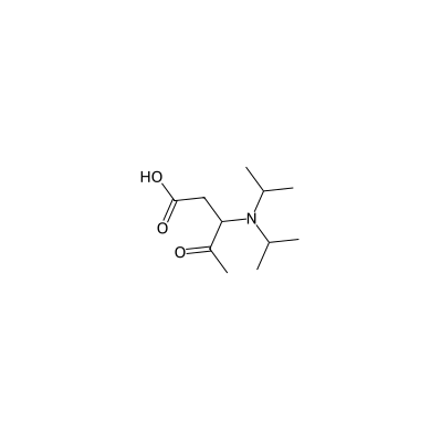 CC(=O)C(CC(=O)O)N(C(C)C)C(C)C